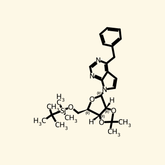 CC1(C)O[C@@H]2[C@H](O1)[C@@H](CO[Si](C)(C)C(C)(C)C)O[C@H]2n1ccc2c(Cc3ccccc3)ncnc21